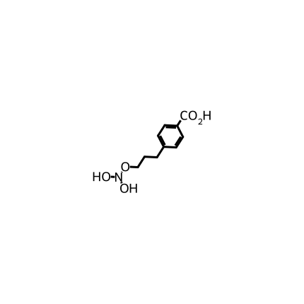 O=C(O)c1ccc(CCCON(O)O)cc1